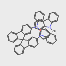 Cn1c2ccccc2c2cccc(N(c3ccccc3)c3ccc4c(c3)C3(c5ccccc5-c5ccc(N(c6ccccc6)c6ccccc6)cc53)c3ccccc3-4)c21